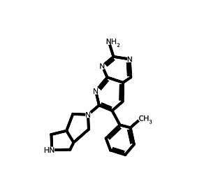 Cc1ccccc1-c1cc2cnc(N)nc2nc1N1CC2CNCC2C1